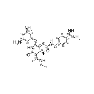 CCNN(C)C1C(=O)NC(Oc2cc(N)cc(N)c2)=C(CC(=O)NCc2ccc(C(=N)N)cc2)C1F